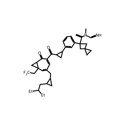 C=C(N(C)C=N)C1(c2cccc(C3CC3C(=O)C3=CC(CC4CC4CC(CC)CC)=CC4(CC(F)(F)F)CC4C3=O)c2)CC2(CC2)C1